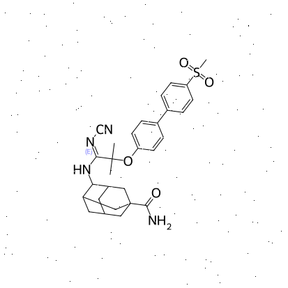 CC(C)(Oc1ccc(-c2ccc(S(C)(=O)=O)cc2)cc1)/C(=N\C#N)NC1C2CC3CC1CC(C(N)=O)(C3)C2